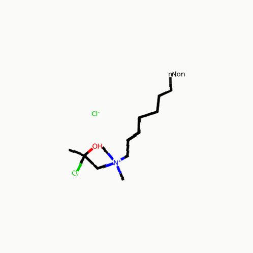 CCCCCCCCCCCCCCCC[N+](C)(C)CC(C)(O)Cl.[Cl-]